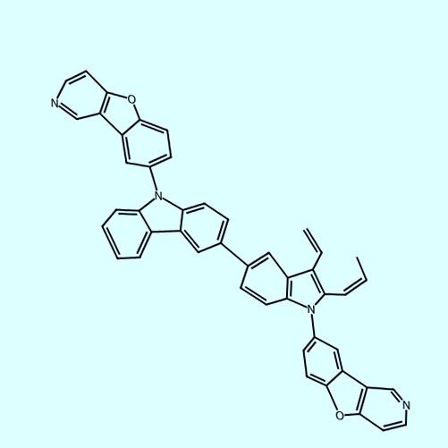 C=Cc1c(/C=C\C)n(-c2ccc3oc4ccncc4c3c2)c2ccc(-c3ccc4c(c3)c3ccccc3n4-c3ccc4oc5ccncc5c4c3)cc12